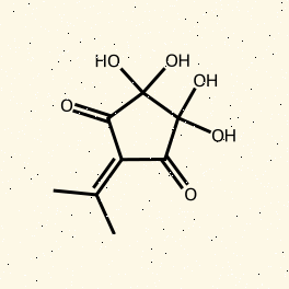 CC(C)=C1C(=O)C(O)(O)C(O)(O)C1=O